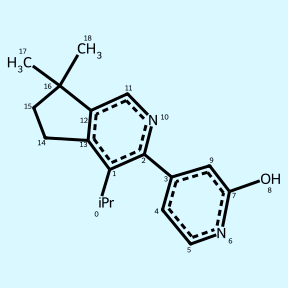 CC(C)c1c(-c2ccnc(O)c2)ncc2c1CCC2(C)C